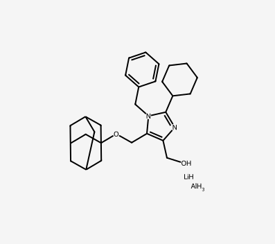 OCc1nc(C2CCCCC2)n(Cc2ccccc2)c1COC12CC3CC(CC(C3)C1)C2.[AlH3].[LiH]